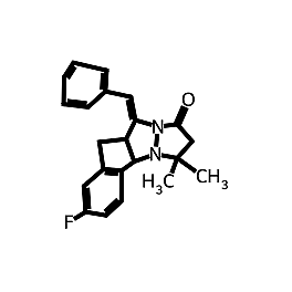 CC1(C)CC(=O)N2/C(=C/c3ccccc3)C3Cc4cc(F)ccc4C3N21